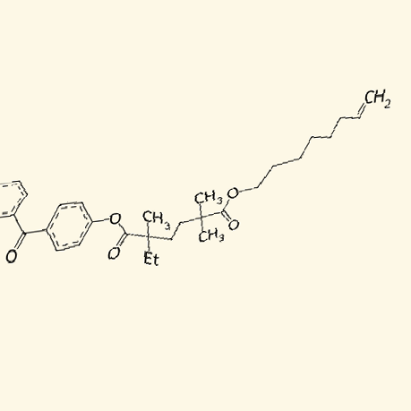 C=CCCCCCCOC(=O)C(C)(C)CCC(C)(CC)C(=O)Oc1ccc(C(=O)c2ccccc2)cc1